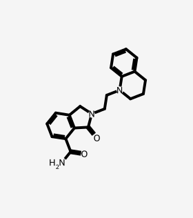 NC(=O)c1cccc2c1C(=O)N(CCN1CCCc3ccccc31)C2